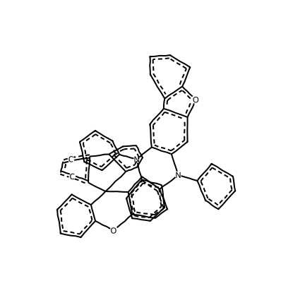 c1ccc(N(c2ccc3c(c2)C2(c4ccccc4O3)c3ccccc3-c3ccccc32)c2cc3oc4ccccc4c3cc2N(c2ccccc2)c2ccccc2)cc1